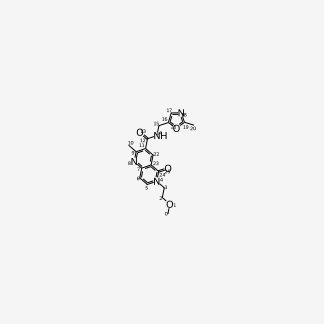 COCCn1ccc2nc(C)c(C(=O)NCc3cnc(C)o3)cc2c1=O